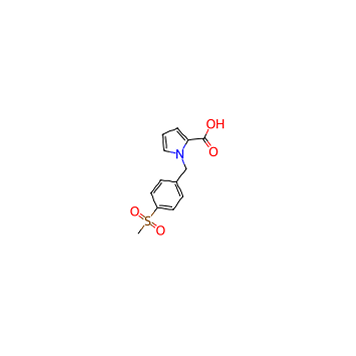 CS(=O)(=O)c1ccc(Cn2cccc2C(=O)O)cc1